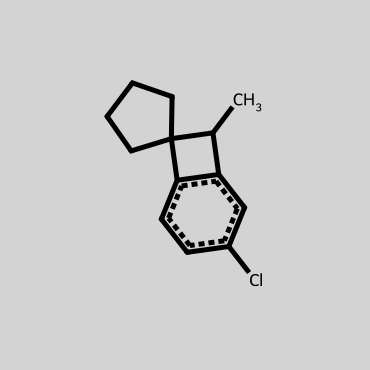 CC1c2cc(Cl)ccc2C12CCCC2